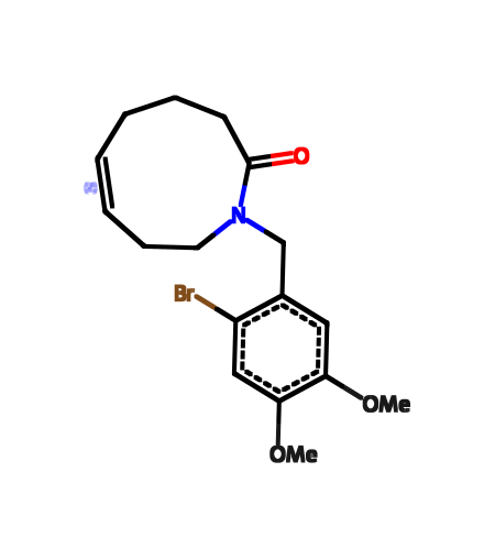 COc1cc(Br)c(CN2CC/C=C\CCCC2=O)cc1OC